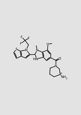 COc1cc(C(=O)N2CCC[C@@H](N)C2)cc2c1N(C)C(c1cc3ccsc3n1CC(F)(F)F)N2